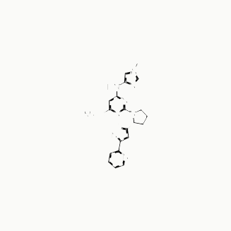 COc1cc(Nc2cn(C)cn2)nc(N2CCC[C@H]2c2cc(-c3ccccn3)no2)n1